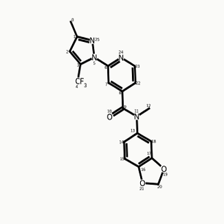 Cc1cc(C(F)(F)F)n(-c2cc(C(=O)N(C)c3ccc4c(c3)OCO4)ccn2)n1